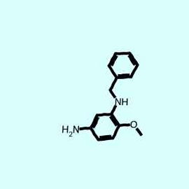 COc1ccc(N)cc1NCc1ccccc1